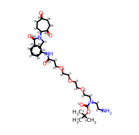 CC(C)(C)OC(=O)N(CCN)CCOCCOCCOCCC(=O)Nc1cccc2c1CN(C1CCC(=O)CCC1=O)C2=O